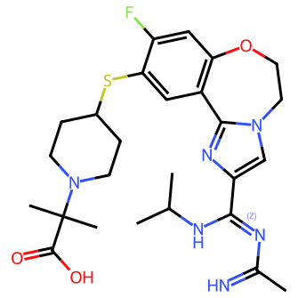 CC(=N)/N=C(\NC(C)C)c1cn2c(n1)-c1cc(SC3CCN(C(C)(C)C(=O)O)CC3)c(F)cc1OCC2